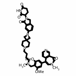 COc1cc(C2=CN(C)C3OC3c3cnccc32)cc(OC)c1CN(C)CCCCN1CCC2(CC1)CN(c1ccc3c(c1)C(=O)N(C1CCC(=O)NC1=O)C3)C2